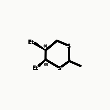 CC[C@H]1CSC(C)S[C@H]1CC